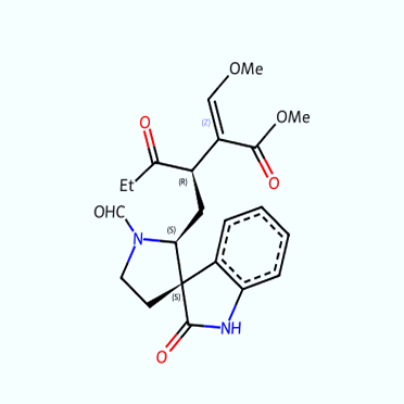 CCC(=O)[C@H](C[C@@H]1N(C=O)CC[C@@]12C(=O)Nc1ccccc12)/C(=C/OC)C(=O)OC